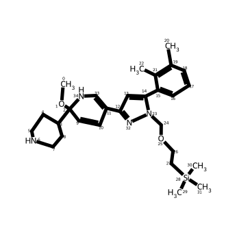 COC1(C2CCNCC2)C=CC(c2cc(-c3cccc(C)c3C)n(COCC[Si](C)(C)C)n2)=CN1